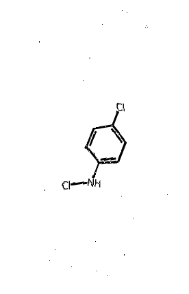 ClNc1ccc(Cl)cc1